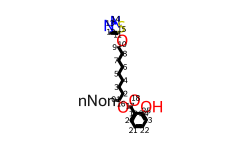 CCCCCCCCCC(CCCCCCCCOc1cnns1)OC(=O)c1ccccc1O